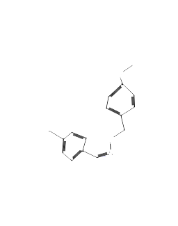 COc1ccc(CO/N=[C]\c2ccc(Cl)cc2)cc1